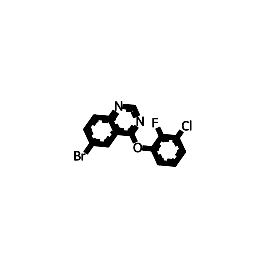 Fc1c(Cl)cccc1Oc1ncnc2ccc(Br)cc12